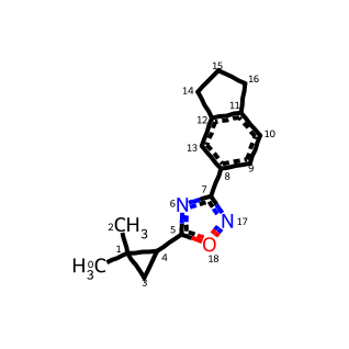 CC1(C)CC1c1nc(-c2ccc3c(c2)CCC3)no1